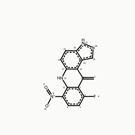 C=C1c2c(F)ccc([N+](=O)[O-])c2Nc2ccc3[nH]ncc3c21